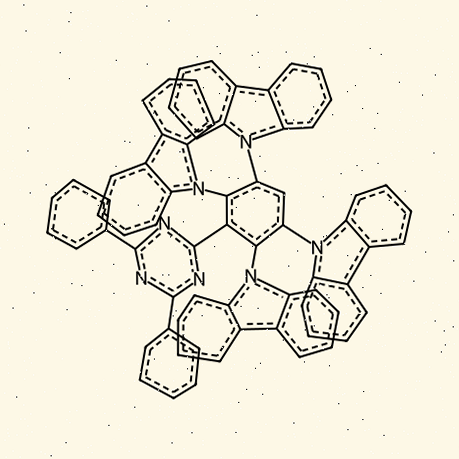 c1ccc(-c2nc(-c3ccccc3)nc(-c3c(-n4c5ccccc5c5ccccc54)c(-n4c5ccccc5c5ccccc54)cc(-n4c5ccccc5c5ccccc54)c3-n3c4ccccc4c4ccccc43)n2)cc1